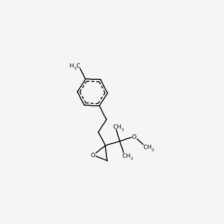 COC(C)(C)C1(CCc2ccc(C)cc2)CO1